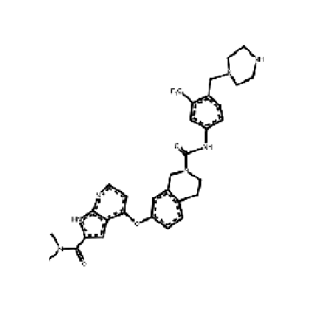 CN(C)C(=O)c1cc2c(Oc3ccc4c(c3)CN(C(=O)Nc3ccc(CN5CCNCC5)c(C(F)(F)F)c3)CC4)ccnc2[nH]1